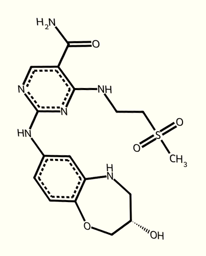 CS(=O)(=O)CCNc1nc(Nc2ccc3c(c2)NC[C@H](O)CO3)ncc1C(N)=O